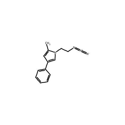 Cc1cc(-c2ccccc2)cn1CCN=[N+]=[N-]